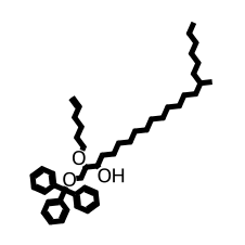 C=CCCCCOC(COC(c1ccccc1)(c1ccccc1)c1ccccc1)C(O)CCCCCCCCCCCCC(C)CCCCCC